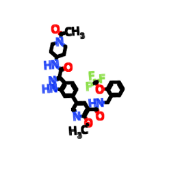 COc1ncc(-c2ccc3c(C(=O)NC4CCN(C(C)=O)CC4)n[nH]c3c2)cc1C(=O)NCc1ccccc1OC(F)(F)F